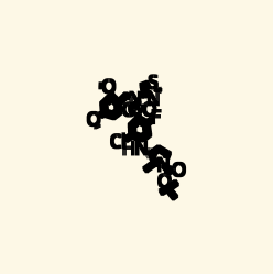 COc1ccc(CN(c2cscn2)S(=O)(=O)c2cc(Cl)c(N[C@@H]3CCN(C(=O)OC(C)(C)C)C3C)cc2F)c(OC)c1